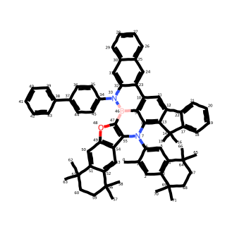 Cc1cc2c(cc1N1c3c4c(cc5c3C(C)(C)c3ccccc3-5)-c3cc5ccccc5cc3N(c3ccc(-c5ccccc5)cc3)B4c3oc4cc5c(cc4c31)C(C)(C)CCC5(C)C)C(C)(C)CCC2(C)C